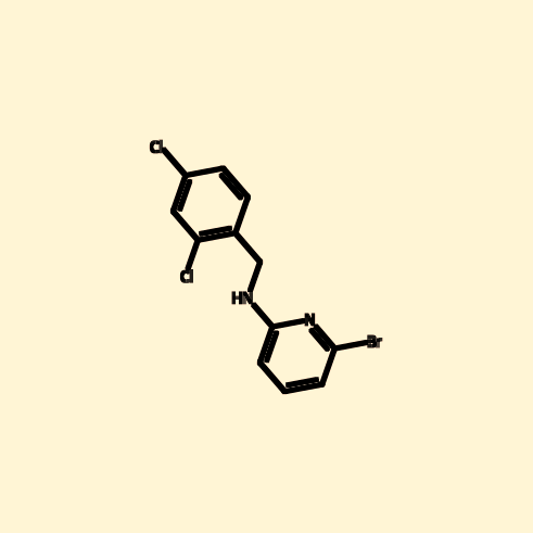 Clc1ccc(CNc2cccc(Br)n2)c(Cl)c1